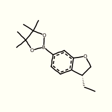 CC[C@H]1COc2cc(B3OC(C)(C)C(C)(C)O3)ccc21